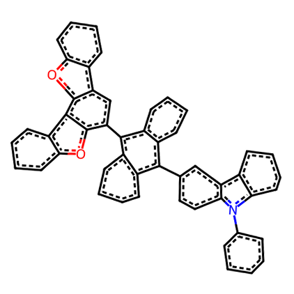 c1ccc(-n2c3ccccc3c3cc(-c4c5ccccc5c(-c5cc6c7ccccc7oc6c6c5oc5ccccc56)c5ccccc45)ccc32)cc1